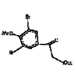 CCCCCCCCCC(=O)c1cc(Br)c(OC)c(Br)c1